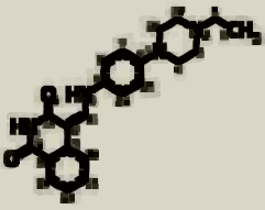 CCN1CCN(c2ccc(N/C=C3\C(=O)NC(=O)c4ccccc43)cc2)CC1